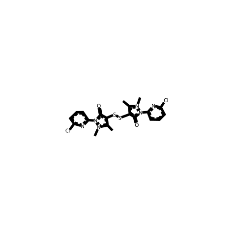 Cc1c(SSc2c(C)n(C)n(-c3cccc(Cl)n3)c2=O)c(=O)n(-c2cccc(Cl)n2)n1C